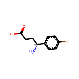 N[C@H](CCC(=O)O)c1ccc(Br)cc1